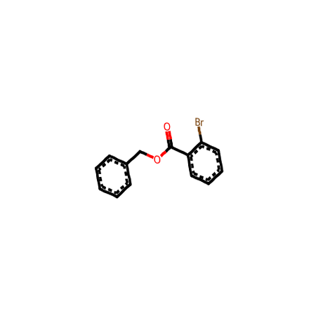 O=C(OCc1ccccc1)c1ccccc1Br